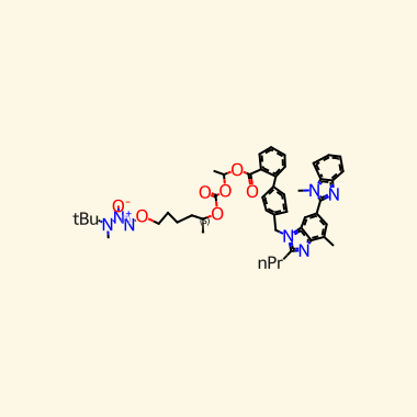 CCCc1nc2c(C)cc(-c3nc4ccccc4n3C)cc2n1Cc1ccc(-c2ccccc2C(=O)OC(C)OC(=O)O[C@@H](C)CCCCO/N=[N+](\[O-])N(C)C(C)(C)C)cc1